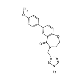 CCn1ccc(CN2CCOc3ccc(-c4ccc(OC(F)(F)F)cc4)cc3C2=O)n1